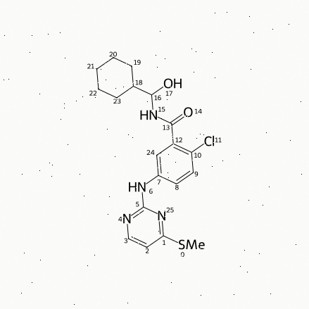 CSc1ccnc(Nc2ccc(Cl)c(C(=O)NC(O)C3CCCCC3)c2)n1